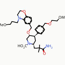 COCCCN1CCOc2ccc(CO[C@H]3CN(C(=O)O)[C@H](CC(C)(C)C(N)=O)C[C@@H]3c3ccc(COCCOC)cc3)cc21